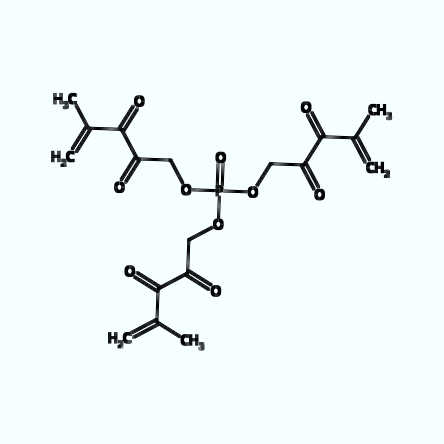 C=C(C)C(=O)C(=O)COP(=O)(OCC(=O)C(=O)C(=C)C)OCC(=O)C(=O)C(=C)C